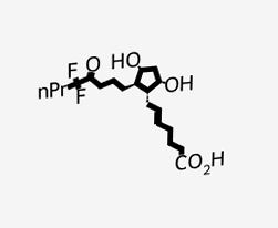 CCCC(F)(F)C(=O)CCC[C@@H]1[C@@H](CC=CCCCC(=O)O)[C@@H](O)C[C@H]1O